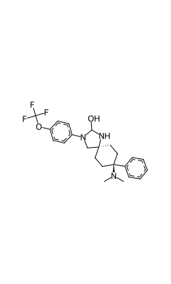 CN(C)[C@]1(c2ccccc2)CC[C@]2(CC1)CN(c1ccc(OC(F)(F)F)cc1)C(O)N2